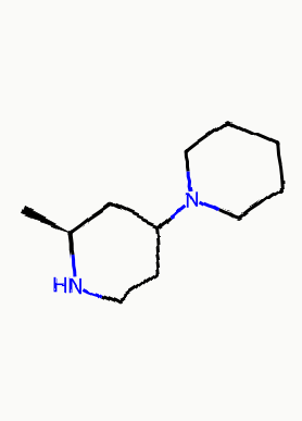 C[C@H]1CC(N2CCCCC2)CCN1